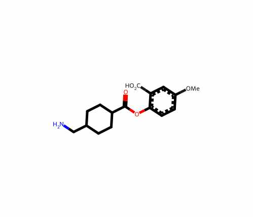 COc1ccc(OC(=O)C2CCC(CN)CC2)c(C(=O)O)c1